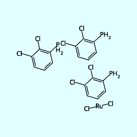 Pc1cccc(Cl)c1Cl.Pc1cccc(Cl)c1Cl.Pc1cccc(Cl)c1Cl.[Cl][Ru][Cl]